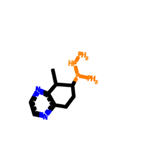 CC1c2nccnc2CCC1P(P)PP